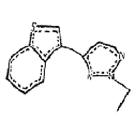 CCn1ncc(-c2csc3ccccc23)n1